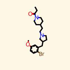 CCC(=O)N1CCC(CCN2CCC(Cc3cc(OC)ccc3Br)C2)CC1